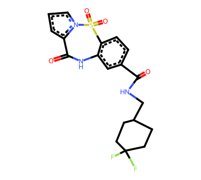 O=C(NCC1CCC(F)(F)CC1)c1ccc2c(c1)NC(=O)c1cccn1S2(=O)=O